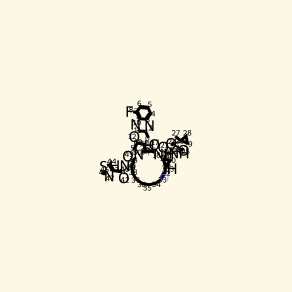 Cc1nc2cccc(F)c2nc1O[C@@H]1C[C@H]2C(=O)N[C@]3(C(=O)NS(=O)(=O)C4(C)CC4)C[C@H]3/C=C\CCCCC[C@H](NC(=O)c3cscn3)C(=O)N2C1